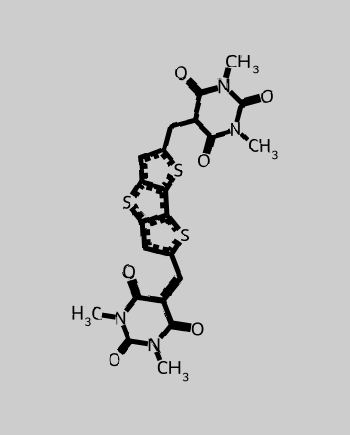 CN1C(=O)C(=Cc2cc3sc4cc(CC5C(=O)N(C)C(=O)N(C)C5=O)sc4c3s2)C(=O)N(C)C1=O